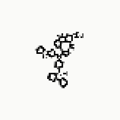 CC(C)(C)c1cc2c3c(c1)C(C)(C)c1cccc(c1-3)-c1cc(ccc1N(c1ccc(Nc3ccccc3-c3ccccc3)cc1)c1ccc3c(c1)oc1ccccc13)C2(C)C